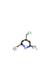 Cc1cc(CCl)cc(C)n1